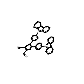 N#Cc1cc(-c2ccc(-n3c4ccccc4c4ccccc43)cc2)c(-c2ccc(-n3c4ccccc4c4ccccc43)cc2)cc1C=N